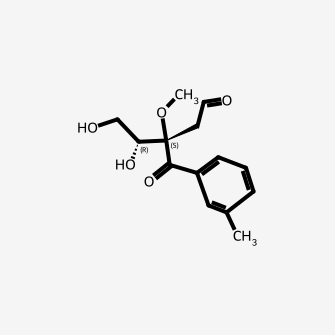 CO[C@](CC=O)(C(=O)c1cccc(C)c1)[C@H](O)CO